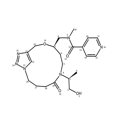 C[C@@H](CO)N1CC[C@H](CN(C)C(=O)c2ccncc2)OCc2cn(nn2)CCCC1=O